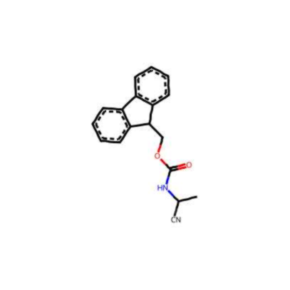 CC(C#N)NC(=O)OCC1c2ccccc2-c2ccccc21